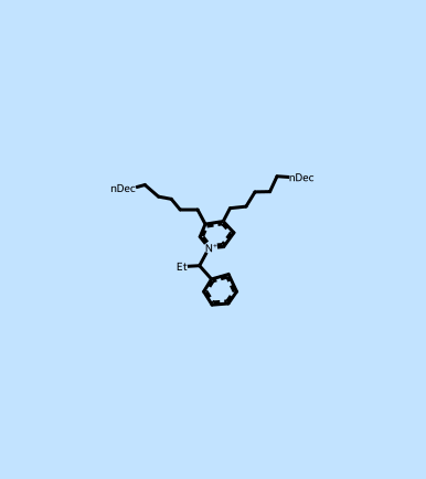 CCCCCCCCCCCCCCCc1cc[n+](C(CC)c2ccccc2)cc1CCCCCCCCCCCCCCC